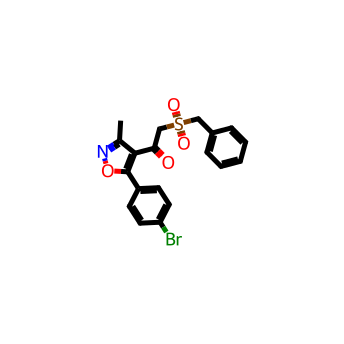 Cc1noc(-c2ccc(Br)cc2)c1C(=O)CS(=O)(=O)Cc1ccccc1